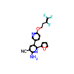 N#Cc1cc(-c2ccc(OCCC(F)=C(F)F)nc2)c(-c2ccco2)nc1N